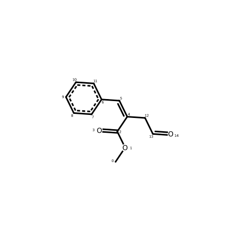 COC(=O)C(=Cc1ccccc1)CC=O